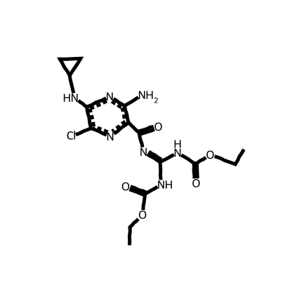 CCOC(=O)NC(=NC(=O)c1nc(Cl)c(NC2CC2)nc1N)NC(=O)OCC